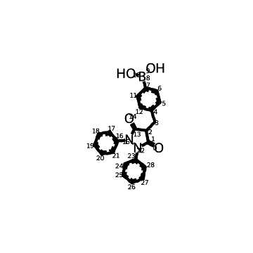 O=C1C(Cc2ccc(B(O)O)cc2)C(=O)N(c2ccccc2)N1c1ccccc1